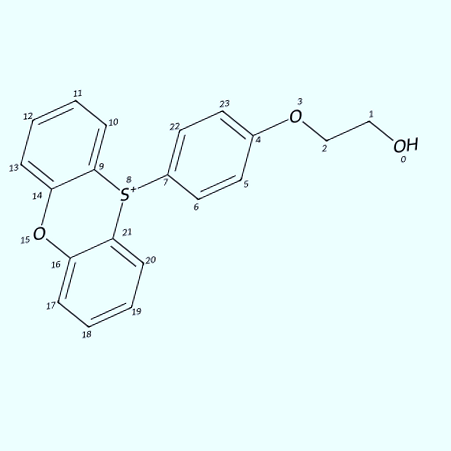 OCCOc1ccc([S+]2c3ccccc3Oc3ccccc32)cc1